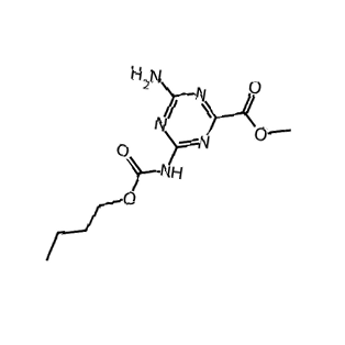 CCCCOC(=O)Nc1nc(N)nc(C(=O)OC)n1